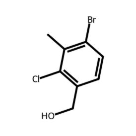 Cc1c(Br)ccc(CO)c1Cl